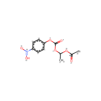 CC(OC(=O)Oc1ccc([NH+]([O-])O)cc1)OC(=O)C(C)C